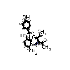 C=C1C=CC(NC(=O)c2ccc(O)cc2)=CN1/C=C(/C(C)=O)C(C)CC